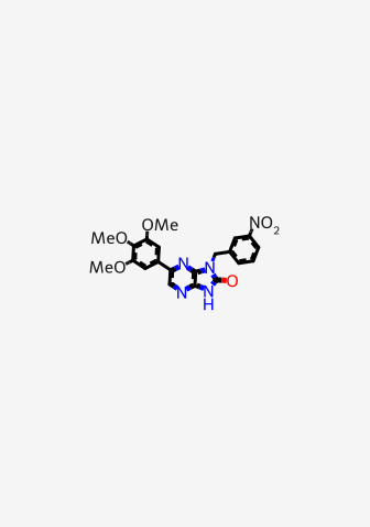 COc1cc(-c2cnc3[nH]c(=O)n(Cc4cccc([N+](=O)[O-])c4)c3n2)cc(OC)c1OC